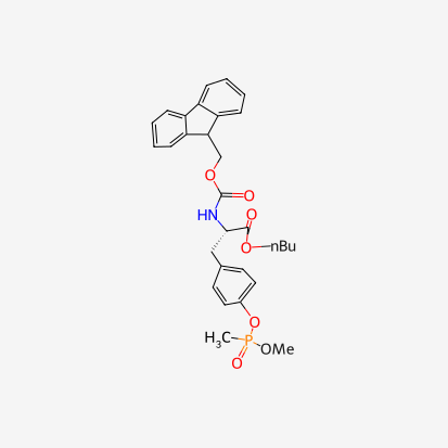 CCCCOC(=O)[C@H](Cc1ccc(OP(C)(=O)OC)cc1)NC(=O)OCC1c2ccccc2-c2ccccc21